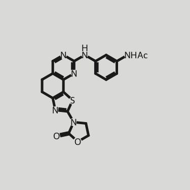 CC(=O)Nc1cccc(Nc2ncc3c(n2)-c2sc(N4CCOC4=O)nc2CC3)c1